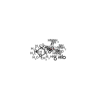 C=Cc1c(C)c2cc3nc(c(C)c4nc(cc5[nH]c(cc1[nH]2)c(C)c5CC)C(C)=C4C(=O)O)[C@@H](CCC(=O)N[C@@H](CCCNC(=N)N)C(=O)N[C@@H](CCCNC(=N)N)C(=O)N[C@@H](Cc1c[nH]c2ccccc12)C(=O)N[C@@H](Cc1c[nH]c2ccccc12)C(=O)N[C@@H](Cc1c[nH]c2ccccc12)C(=O)O)[C@@H]3C